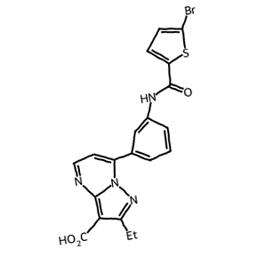 CCc1nn2c(-c3cccc(NC(=O)c4ccc(Br)s4)c3)ccnc2c1C(=O)O